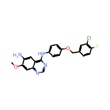 COc1cc2ncnc(Nc3ccc(OCc4ccc(F)c(Cl)c4)cc3)c2cc1N